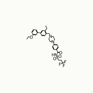 CCOc1cccc(-c2ccc(CN3CCN(c4ccc(C(=O)NS(=O)(=O)CCC(F)(F)F)cc4)CC3)c(CC)c2)c1